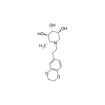 C[C@@H]1[C@@H](O)[C@H](O)[C@@H](O)CN1CCc1ccc2c(c1)OCCO2